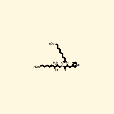 CCCCCCCCCCCCC/C=C/C(O)C(N)COC(=O)C(Cc1c[nH]cn1)NC(=O)CCCCCCCCCCCCCCCCC